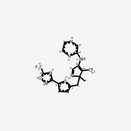 CC1(Cc2ccc(-c3noc(C(F)(F)F)n3)s2)N=CC(Nc2cnccn2)=C1C(F)(F)F